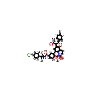 CNC(=O)c1c(-c2ccc(F)cc2)oc2c1cc(-c1cccc(C(=O)NC(C)(C)c3ccc(Cl)cc3)c1)c1c2ccn1S(C)(=O)=O